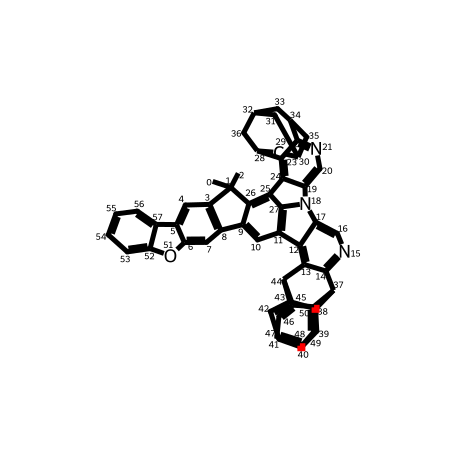 CC1(C)c2cc3c(cc2-c2cc4c5c6c(ncc5n5c7cnc8c(c7c(c21)c45)C1CC2CC(CC8C2)C1)C1c2ccccc2C6c2ccccc21)oc1ccccc13